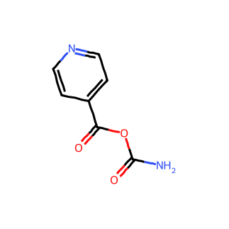 NC(=O)OC(=O)c1ccncc1